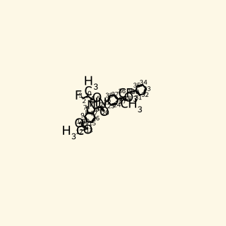 CC(CF)C(=O)N1Cc2cc(S(C)(=O)=O)ccc2C1C(=O)Nc1ccc(C(C)(OCc2ccccc2)C(F)(F)F)cc1